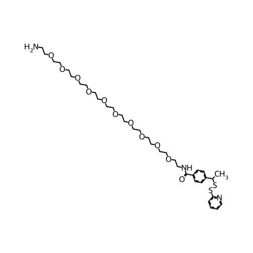 CC(SSc1ccccn1)c1ccc(C(=O)NCCOCCOCCOCCOCCOCCOCCOCCOCCOCCOCCN)cc1